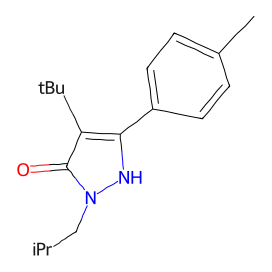 Cc1ccc(-c2[nH]n(CC(C)C)c(=O)c2C(C)(C)C)cc1